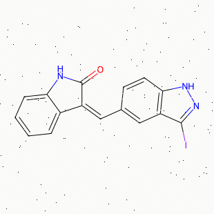 O=C1Nc2ccccc2C1=Cc1ccc2[nH]nc(I)c2c1